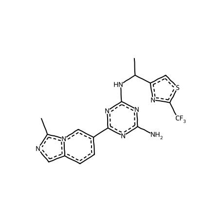 Cc1ncc2ccc(-c3nc(N)nc(NC(C)c4csc(C(F)(F)F)n4)n3)cn12